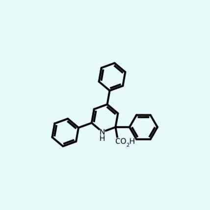 O=C(O)C1(c2ccccc2)C=C(c2ccccc2)C=C(c2ccccc2)N1